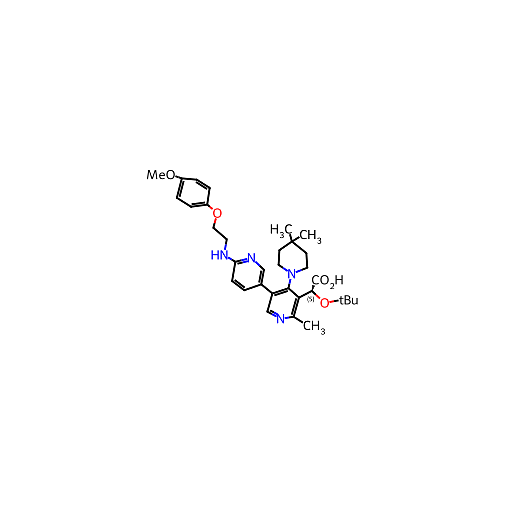 COc1ccc(OCCNc2ccc(-c3cnc(C)c([C@H](OC(C)(C)C)C(=O)O)c3N3CCC(C)(C)CC3)cn2)cc1